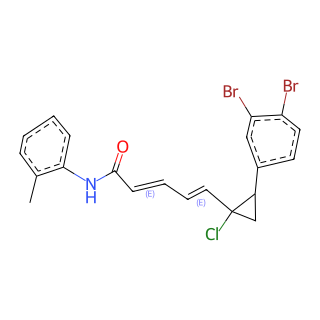 Cc1ccccc1NC(=O)/C=C/C=C/C1(Cl)CC1c1ccc(Br)c(Br)c1